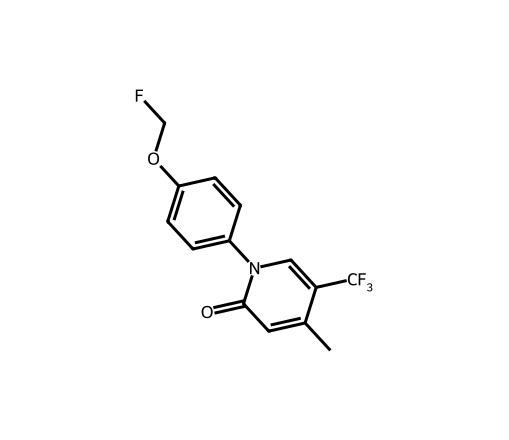 Cc1cc(=O)n(-c2ccc(OCF)cc2)cc1C(F)(F)F